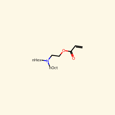 C=CC(=O)OCCN(CCCCCC)CCCCCCCC